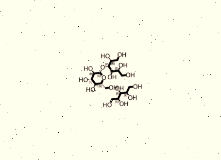 OC[C@@H](O)[C@@H](O[C@@H]1O[C@H](CO)[C@H](O)[C@H](O)[C@H]1O)[C@H](O)[C@@H](O)CO.OC[C@@H](O)[C@H](O)[C@@H](O)CO